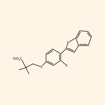 CCOC(=O)C(C)(C)CSc1ccc(-c2cc3ccccc3o2)c(F)c1